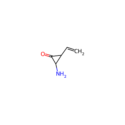 C=CC1C(=O)C1N